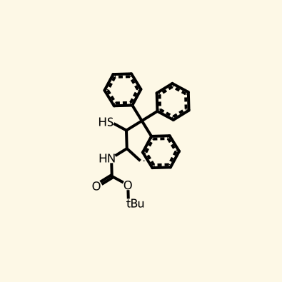 [CH2]C(NC(=O)OC(C)(C)C)C(S)C(c1ccccc1)(c1ccccc1)c1ccccc1